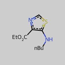 CCCCNc1scnc1C(=O)OCC